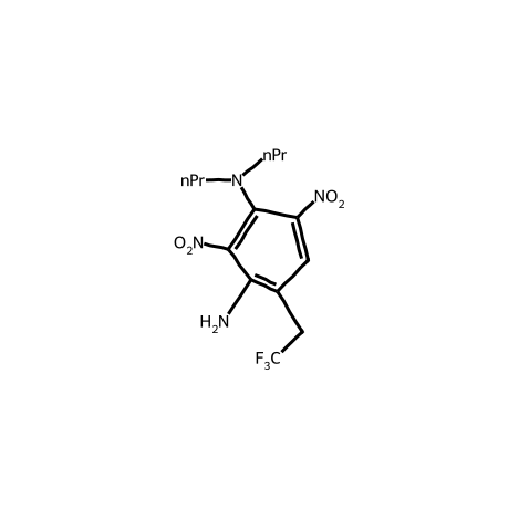 CCCN(CCC)c1c([N+](=O)[O-])cc(CC(F)(F)F)c(N)c1[N+](=O)[O-]